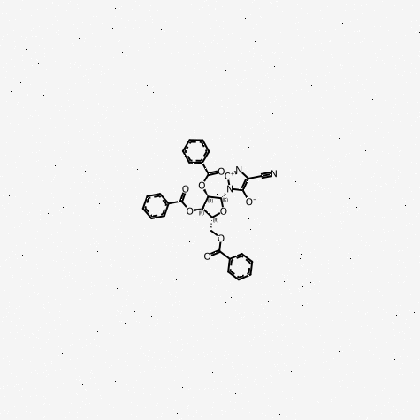 N#CC1=C([O-])N([C@@H]2O[C@H](COC(=O)c3ccccc3)[C@@H](OC(=O)c3ccccc3)[C@H]2OC(=O)c2ccccc2)[C+]=N1